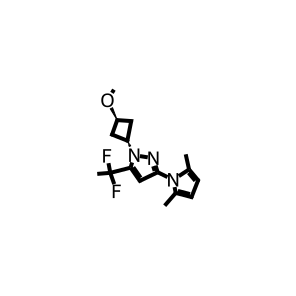 CO[C@H]1C[C@H](n2nc(-n3c(C)ccc3C)cc2C(C)(F)F)C1